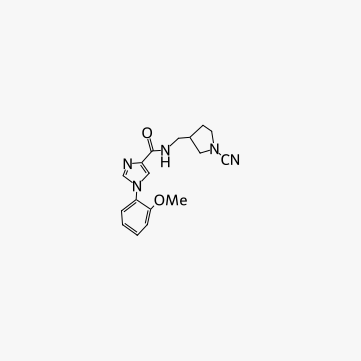 COc1ccccc1-n1cnc(C(=O)NCC2CCN(C#N)C2)c1